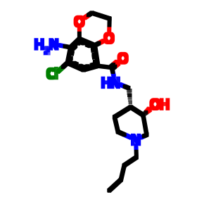 CCCCN1CC[C@H](CNC(=O)c2cc(Cl)c(N)c3c2OCCO3)[C@@H](O)C1